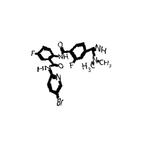 CN(C)C(=N)c1ccc(C(=O)Nc2ccc(F)cc2C(=O)Nc2ccc(Br)cn2)c(F)c1